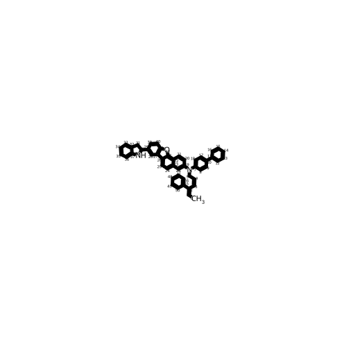 C/C=C(\C=C/CN(c1ccc(-c2ccccc2)cc1)c1ccc2c(ccc3c4cc(C5Cc6ccccc6N5)ccc4oc23)c1)c1ccccc1